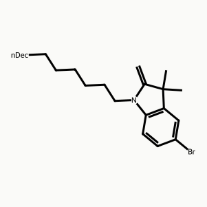 C=C1N(CCCCCCCCCCCCCCCC)c2ccc(Br)cc2C1(C)C